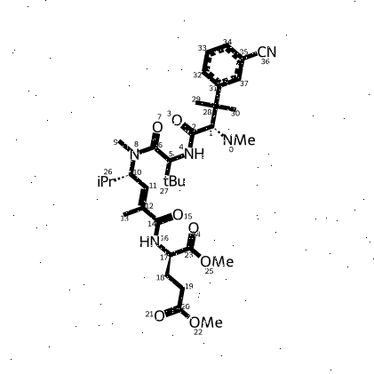 CN[C@H](C(=O)NC(C(=O)N(C)[C@H](/C=C(\C)C(=O)N[C@H](CCC(=O)OC)C(=O)OC)C(C)C)C(C)(C)C)C(C)(C)c1cccc(C#N)c1